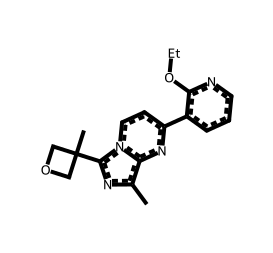 CCOc1ncccc1-c1ccn2c(C3(C)COC3)nc(C)c2n1